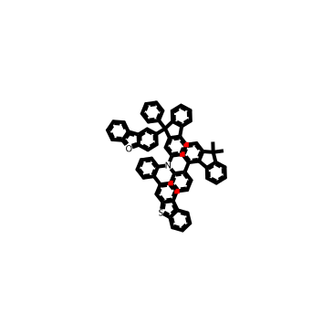 CC1(C)c2ccccc2-c2c(-c3ccccc3N(c3ccc4c(c3)C(c3ccccc3)(c3ccc5oc6ccccc6c5c3)c3ccccc3-4)c3ccccc3-c3ccc4c(c3)sc3ccccc34)cccc21